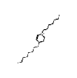 CCCCCCCCc1cc[n+](CCCCCCC)cc1